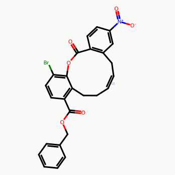 O=C1Oc2c(Br)ccc(C(=O)OCc3ccccc3)c2CC/C=C\Cc2cc([N+](=O)[O-])ccc21